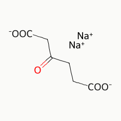 O=C([O-])CCC(=O)CC(=O)[O-].[Na+].[Na+]